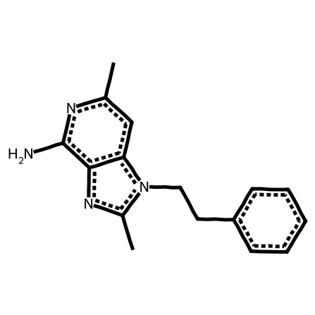 Cc1cc2c(nc(C)n2CCc2ccccc2)c(N)n1